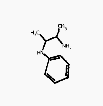 CC(N)C(C)Nc1ccccc1